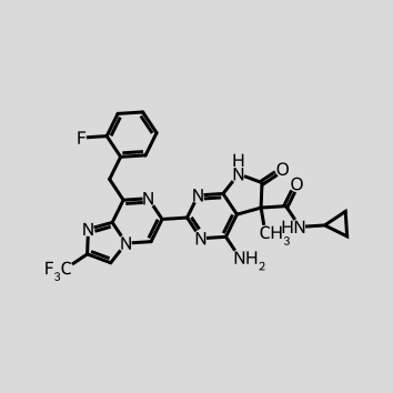 CC1(C(=O)NC2CC2)C(=O)Nc2nc(-c3cn4cc(C(F)(F)F)nc4c(Cc4ccccc4F)n3)nc(N)c21